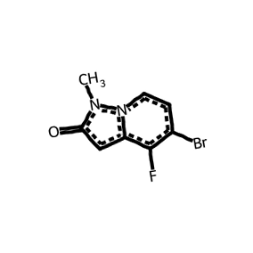 Cn1c(=O)cc2c(F)c(Br)ccn21